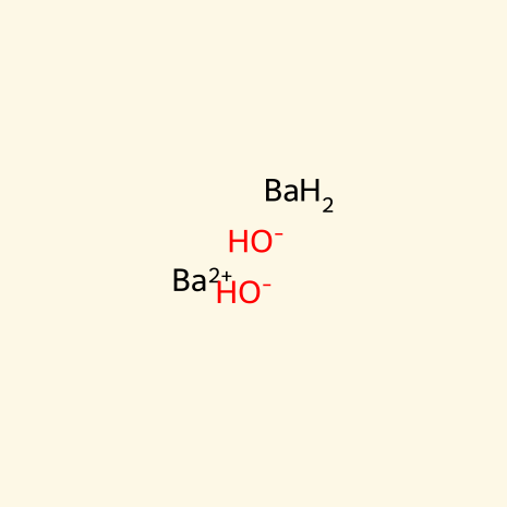 [Ba+2].[BaH2].[OH-].[OH-]